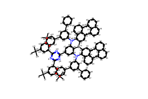 CC(C)(C)c1cc(-c2nc(-c3cc(C(C)(C)C)cc(C(C)(C)C)c3)nc(-c3cc4c5c(c3)N(c3cc(-c6ccccc6)cc(-c6ccccc6)c3)c3c(cc6c7cccc8cccc(c9cccc3c96)c87)B5c3cc5c6cccc7cccc(c8cccc(c3N4c3cc(-c4ccccc4)cc(-c4ccccc4)c3)c85)c76)n2)cc(C(C)(C)C)c1